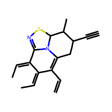 C#CC1CC2=C(C=C)C(=C/C)/C(=C\C)C3=NSC(C1C)N32